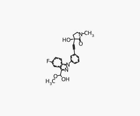 COC(O)c1nn(-c2cccc(C#C[C@]3(O)CCN(C)C3=O)c2)c2ccc(F)cc12